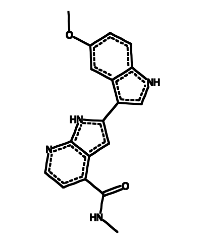 CNC(=O)c1ccnc2[nH]c(-c3c[nH]c4ccc(OC)cc34)cc12